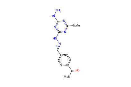 CNC(=O)c1ccc(/C=N/Nc2nc(NC)nc(NN)n2)cc1